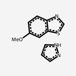 COc1ccc2ncsc2c1.c1cn[nH]c1